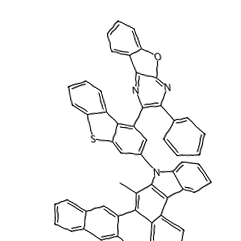 Cc1cc2ccccc2cc1-c1c(C)c2c(c3ccccc13)c1ccccc1n2-c1cc(-c2nc3c(nc2-c2ccccc2)oc2ccccc23)c2c(c1)sc1ccccc12